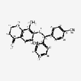 Cc1cc2c(c(C)c1O[C@H](c1ccncc1)c1ccc(C#N)cc1)OCCC2=O